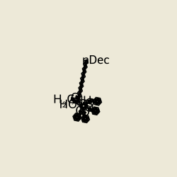 C=C[C@@H](O)[C@H](C[C@H]1O[C@H](COCc2ccccc2)[C@H](OCc2ccccc2)[C@H](OCc2ccccc2)[C@H]1OCc1ccccc1)NC(=O)CCCCCCCCCCCCCCCCCCCCCCCCC